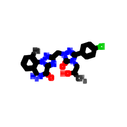 CCc1cccc(C)c1-n1nc(Cn2nc(-c3ccc(Cl)cc3)n(CC(O)C(F)(F)F)c2=O)nc1C(N)=O